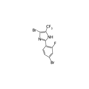 Fc1cc(Br)ccc1-c1nc(Br)c(C(F)(F)F)[nH]1